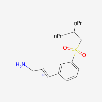 CCCC(CCC)CS(=O)(=O)c1cccc(/C=C/CN)c1